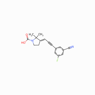 CC1(C)/C(=C/C#Cc2cc(F)cc(C#N)c2)CCN1C(=O)O